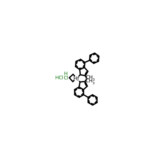 CC1=Cc2c(-c3ccccc3)cccc2[CH]1[Hf]1([CH]2C(C)=Cc3c(-c4ccccc4)cccc32)[CH2]C[CH2]1.Cl.Cl